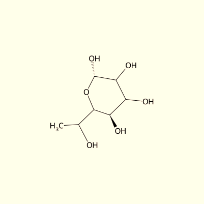 CC(O)C1O[C@H](O)C(O)C(O)[C@H]1O